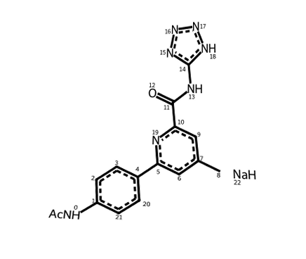 CC(=O)Nc1ccc(-c2cc(C)cc(C(=O)Nc3nnn[nH]3)n2)cc1.[NaH]